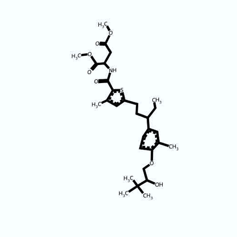 CCC(CCc1cc(C)c(C(=O)NC(CC(=O)OC)C(=O)OC)s1)c1ccc(OCC(O)C(C)(C)C)c(C)c1